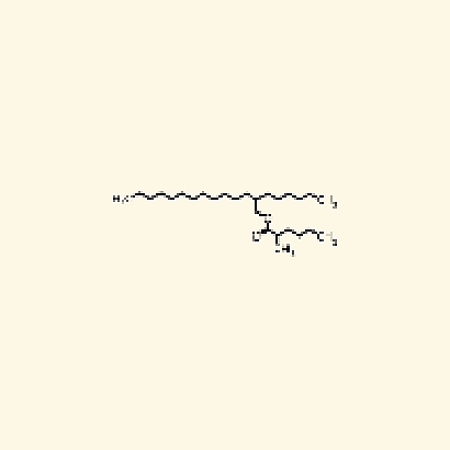 CCCCCCCCCCCCC(CCCCCC)COC(=O)C(C)CCCC